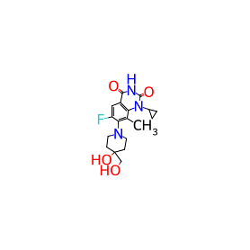 Cc1c(N2CCC(O)(CO)CC2)c(F)cc2c(=O)[nH]c(=O)n(C3CC3)c12